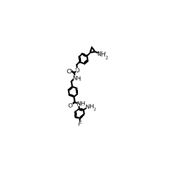 Nc1cc(F)ccc1NC(=O)c1ccc(CNC(=O)OCc2ccc(C3CC3N)cc2)cc1